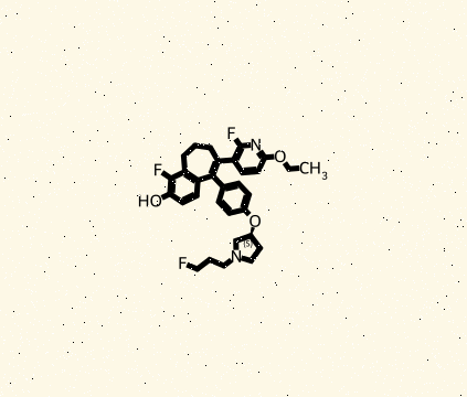 CCOc1ccc(C2=C(c3ccc(O[C@H]4CCN(CCCF)C4)cc3)c3ccc(O)c(F)c3CCC2)c(F)n1